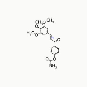 COc1cc(/C=C/C(=O)c2ccc(OC(N)=O)cc2)cc(OC)c1OC